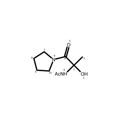 CC(=O)NC(C)(O)C(=O)N1CCCC1